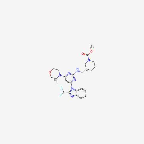 C[C@@H]1COCCN1c1cc(-n2c(C(F)F)nc3ccccc32)nc(NC[C@H]2CCCN(C(=O)OC(C)(C)C)C2)n1